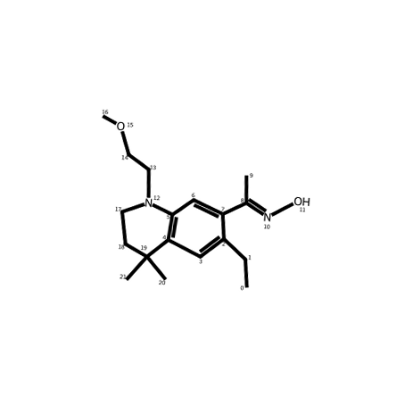 CCc1cc2c(cc1C(C)=NO)N(CCOC)CCC2(C)C